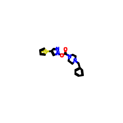 O=C(On1cc([SH]2C=CC=C2)cn1)N1CCN(Cc2ccccc2)CC1